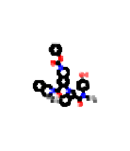 C[C@@H]1Cc2ccccc2CN1C(=O)c1cc2c(cc1-n1cc(C(=O)N(C)c3ccc(O)cc3)c3ccccc31)CCN(C(=O)Oc1ccccc1)C2